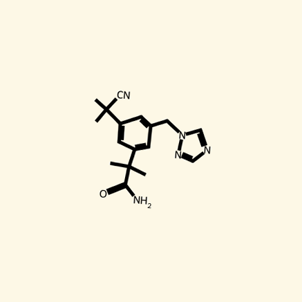 CC(C)(C#N)c1cc(Cn2cncn2)cc(C(C)(C)C(N)=O)c1